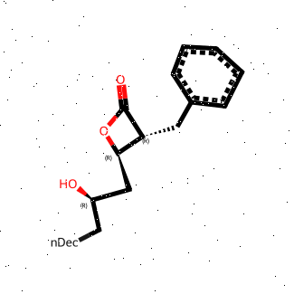 CCCCCCCCCCC[C@@H](O)C[C@H]1OC(=O)[C@@H]1Cc1ccccc1